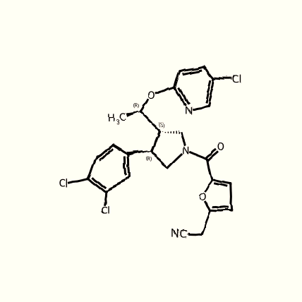 C[C@@H](Oc1ccc(Cl)cn1)[C@@H]1CN(C(=O)c2ccc(CC#N)o2)C[C@H]1c1ccc(Cl)c(Cl)c1